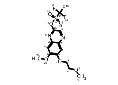 COCCOc1cc2ncc(OS(=O)(=O)C(F)(F)F)nc2cc1OC